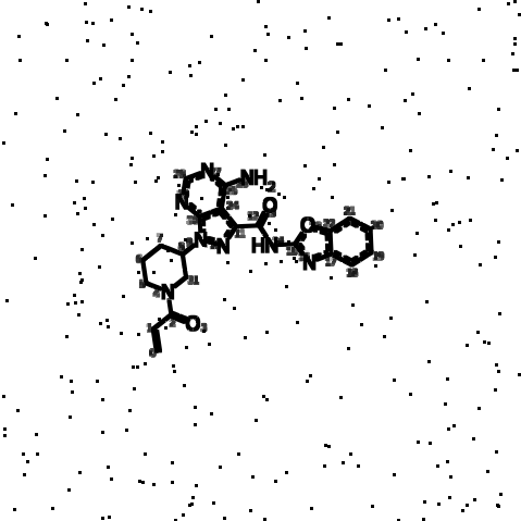 C=CC(=O)N1CCCC(n2nc(C(=O)Nc3nc4ccccc4o3)c3c(N)ncnc32)C1